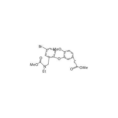 CCN(Cc1cc(Br)ccc1Oc1cc(CC(=O)OC)ccc1OC)C(=O)OC